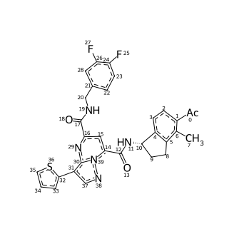 CC(=O)c1ccc2c(c1C)CC[C@@H]2NC(=O)c1cc(C(=O)NCc2ccc(F)c(F)c2)nc2c(-c3cccs3)cnn12